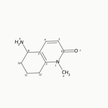 Cn1c2c(ccc1=O)C(N)CCC2